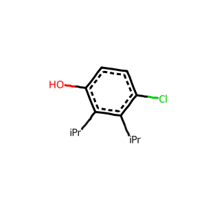 CC(C)c1c(O)ccc(Cl)c1C(C)C